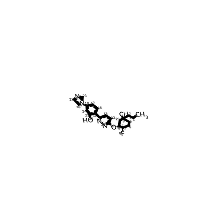 CCC[C@]1(C)CC[C@@H](F)[C@H](Oc2ccc(-c3ccc(-n4ccnc4)cc3O)nn2)C1